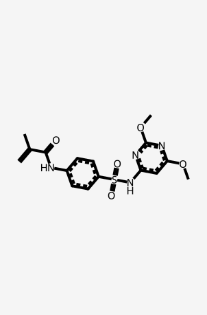 C=C(C)C(=O)Nc1ccc(S(=O)(=O)Nc2cc(OC)nc(OC)n2)cc1